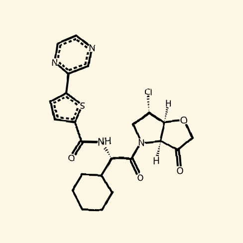 O=C(N[C@H](C(=O)N1C[C@H](Cl)[C@H]2OCC(=O)[C@H]21)C1CCCCC1)c1ccc(-c2cnccn2)s1